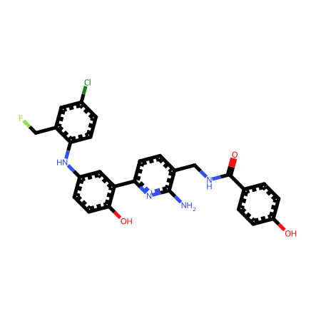 Nc1nc(-c2cc(Nc3ccc(Cl)cc3CF)ccc2O)ccc1CNC(=O)c1ccc(O)cc1